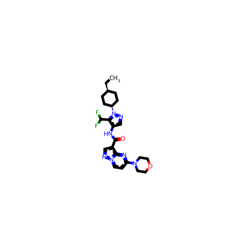 CC[C@H]1CC[C@H](n2ncc(NC(=O)c3cnn4ccc(N5CCOCC5)nc34)c2C(F)F)CC1